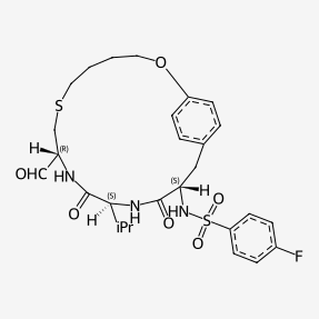 CC(C)[C@@H]1NC(=O)[C@@H](NS(=O)(=O)c2ccc(F)cc2)Cc2ccc(cc2)OCCCCSC[C@@H](C=O)NC1=O